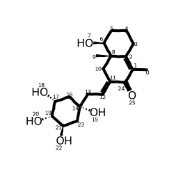 CC1=C2CCC[C@H](O)[C@@]2(C)C/C(=C\C[C@]2(O)C[C@@H](O)[C@@H](O)[C@H](O)C2)C1=O